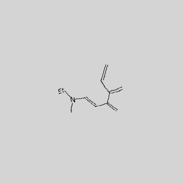 C=CC(=C)C(=C)C=CN(C)CC